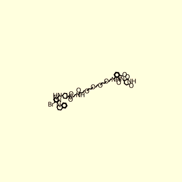 O=C(CCOCCOCCOCCOCCNc1cccc2c1C(=O)N(C1CCC(=O)NC1=O)C2=O)NCCS(=O)(=O)N1CCC(Nc2ncc(Br)c(N3CCCc4ccccc43)n2)CC1